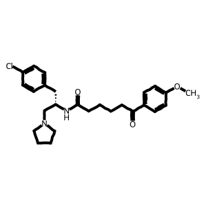 COc1ccc(C(=O)CCCCC(=O)N[C@@H](Cc2ccc(Cl)cc2)CN2CCCC2)cc1